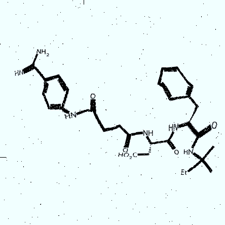 CCC(C)(C)NC(=O)[C@H](Cc1ccccc1)NC(=O)[C@H](CC(=O)O)NC(=O)CCC(=O)Nc1ccc(C(=N)N)cc1